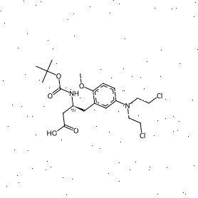 COc1ccc(N(CCCl)CCCl)cc1C[C@@H](CC(=O)O)NC(=O)OC(C)(C)C